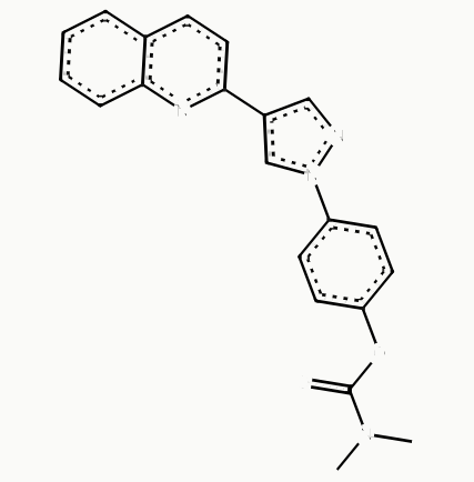 CN(C)C(=O)Oc1ccc(-n2cc(-c3ccc4ccccc4n3)cn2)cc1